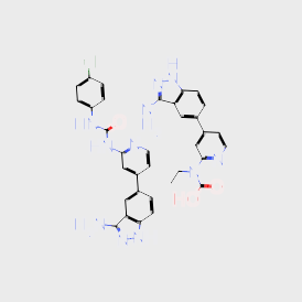 CCN(C(=O)O)c1cc(-c2ccc3[nH]nc(N)c3c2)ccn1.Nc1n[nH]c2ccc(-c3ccnc(NC(=O)Nc4ccc(Cl)cc4)c3)cc12